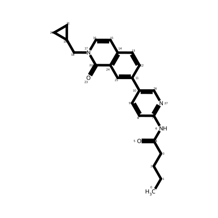 CCCCC(=O)Nc1ccc(-c2ccc3ccn(CC4CC4)c(=O)c3c2)cn1